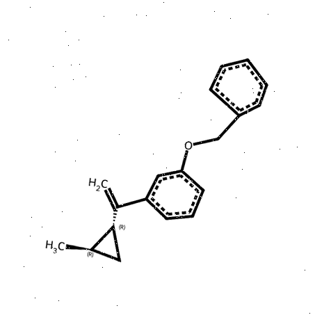 C=C(c1cccc(OCc2ccccc2)c1)[C@@H]1C[C@H]1C